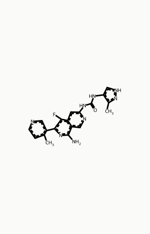 Cc1ccncc1-c1nc(N)c2cnc(NC(=O)Nc3c[nH]nc3C)cc2c1F